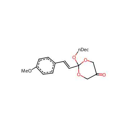 CCCCCCCCCCOC1(C=Cc2ccc(OC)cc2)OCC(=O)CO1